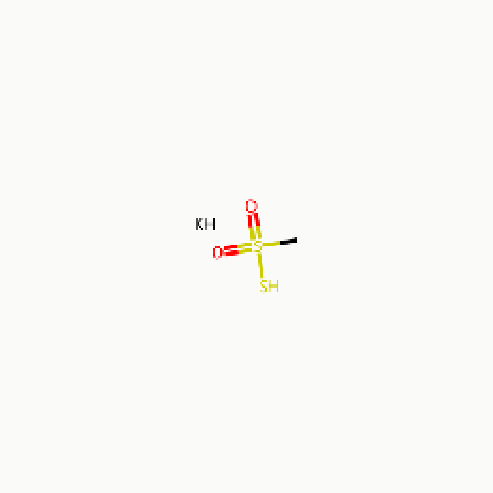 CS(=O)(=O)S.[KH]